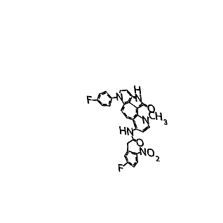 CN1C=CC(NC(=O)Cc2cc(F)ccc2[N+](=O)[O-])=c2ccc3c4c([nH]c(=O)c-4c21)=CCN3c1ccc(F)cc1